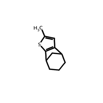 Cc1cc2c(s1)C1CCCC2C1